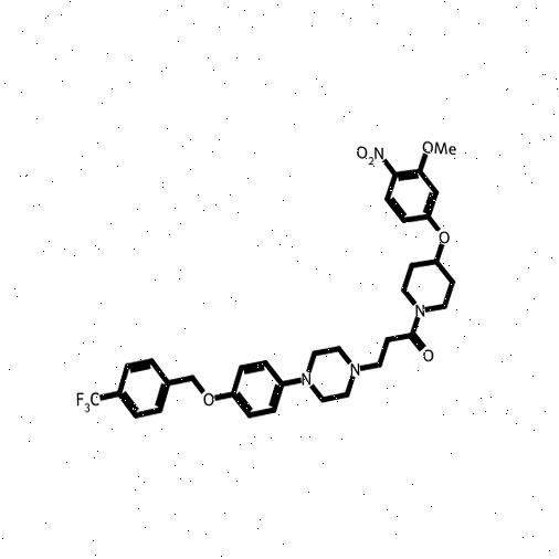 COc1cc(OC2CCN(C(=O)CCN3CCN(c4ccc(OCc5ccc(C(F)(F)F)cc5)cc4)CC3)CC2)ccc1[N+](=O)[O-]